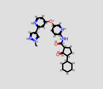 Cn1cc(-c2cc(Oc3ccc(NC(=O)C4CCC(C5CCCCC5)C4=O)nc3)ccn2)cn1